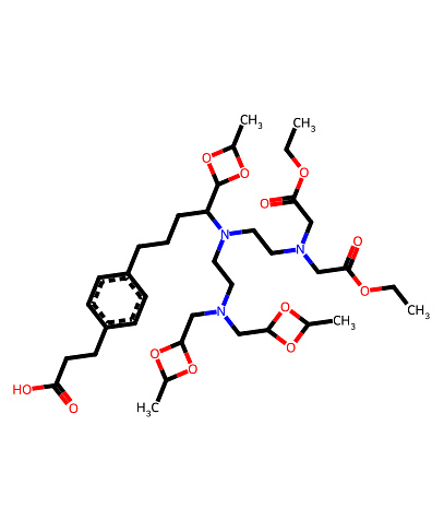 CCOC(=O)CN(CCN(CCN(CC1OC(C)O1)CC1OC(C)O1)C(CCCc1ccc(CCC(=O)O)cc1)C1OC(C)O1)CC(=O)OCC